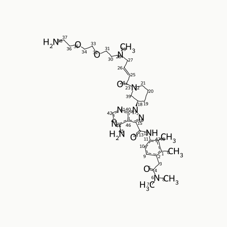 Cc1c(CC(=O)N(C)C)ccc(NC(=O)c2nn([C@@H]3CCCN(C(=O)/C=C/CN(C)CCOCCOCCN)C3)c3ncnc(N)c23)c1C